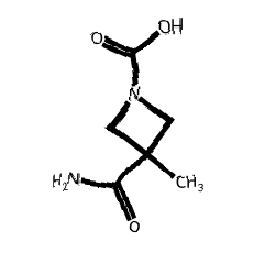 CC1(C(N)=O)CN(C(=O)O)C1